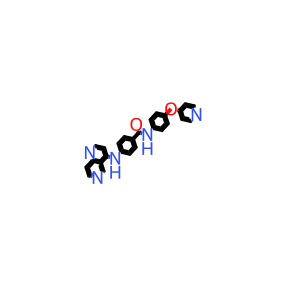 O=C(Nc1ccc(Oc2ccncc2)cc1)c1ccc(Nc2ccnc3ccncc23)cc1